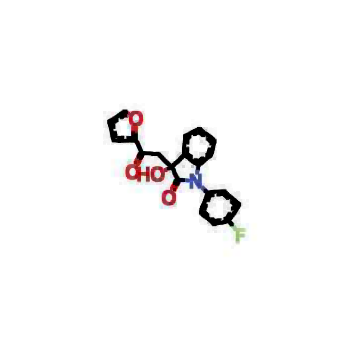 O=C(CC1(O)C(=O)N(c2ccc(F)cc2)c2ccccc21)c1ccco1